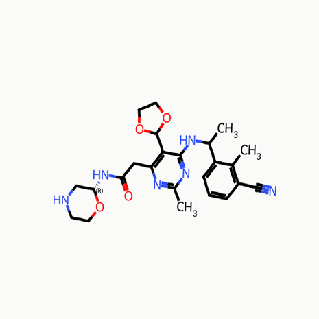 Cc1nc(CC(=O)N[C@H]2CNCCO2)c(C2OCCO2)c(NC(C)c2cccc(C#N)c2C)n1